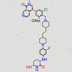 COc1cc(-c2cn(C)c(=O)c3cnccc23)cc(Cl)c1CN1CCC(CCC2CCN(c3ccc(NC4CCC(O)NC4=O)cc3F)CC2)CC1